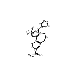 COC(=O)c1ccc2c(c1)CCCC(Cc1ccccc1)=C2OS(=O)(=O)C(F)(F)F